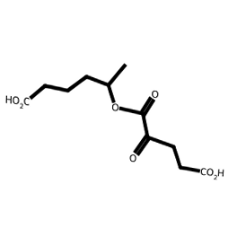 CC(CCCC(=O)O)OC(=O)C(=O)CCC(=O)O